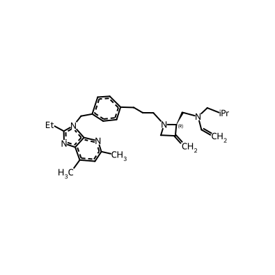 C=CN(CC(C)C)C[C@H]1C(=C)CN1CCCc1ccc(Cn2c(CC)nc3c(C)cc(C)nc32)cc1